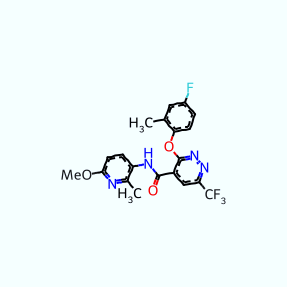 COc1ccc(NC(=O)c2cc(C(F)(F)F)nnc2Oc2ccc(F)cc2C)c(C)n1